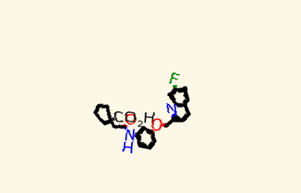 O=C(CC1(C(=O)O)CCCC1)Nc1cccc(OCc2ccc3ccc(F)cc3n2)c1